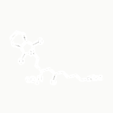 CCCCCCCCCCCCCCC(=O)CC(CCN1C(=O)c2ccccc2C1=O)C(=O)O